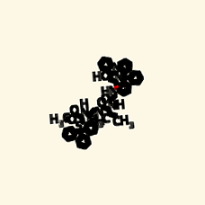 CCC(C)C(NC(=O)CNC(=O)C1CC2(O)c3ccccc3NC2N1C(c1ccccc1)(c1ccccc1)c1ccccc1)C(=O)NCC(=O)NC(CSC(c1ccccc1)(c1ccccc1)c1ccccc1)C(=O)OC